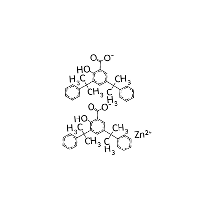 CC(C)(c1ccccc1)c1cc(C(=O)[O-])c(O)c(C(C)(C)c2ccccc2)c1.CC(C)(c1ccccc1)c1cc(C(=O)[O-])c(O)c(C(C)(C)c2ccccc2)c1.[Zn+2]